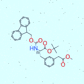 COC(=O)Cc1cccc(C[C@H](NC(=O)OCC2c3ccccc3-c3ccccc32)C(=O)OC(C)(C)C)c1